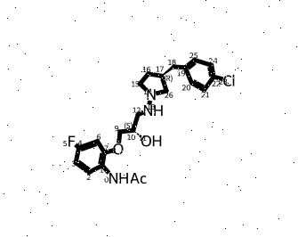 CC(=O)Nc1ccc(F)cc1OC[C@@H](O)CNN1CC[C@@H](Cc2ccc(Cl)cc2)C1